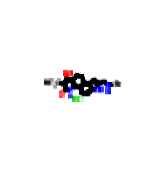 CCCNCc1cc2c3c(ccc2[nH]1)-c1[nH]c(=O)c(C(=O)O)c(O)c1CC3.Cl